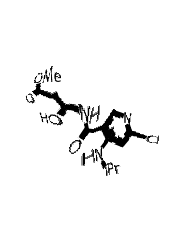 COC(=O)CC(O)NC(=O)c1cnc(Cl)cc1NC(C)C